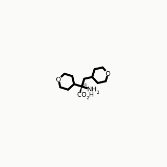 N[C@](CC1CCOCC1)(C(=O)O)C1CCOCC1